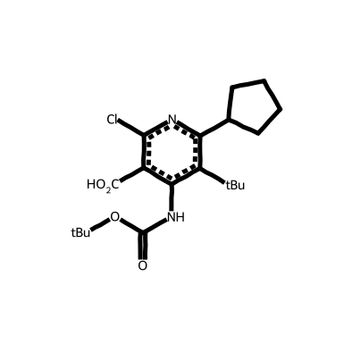 CC(C)(C)OC(=O)Nc1c(C(=O)O)c(Cl)nc(C2CCCC2)c1C(C)(C)C